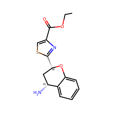 CCOC(=O)c1csc([C@H]2C[C@@H](N)c3ccccc3O2)n1